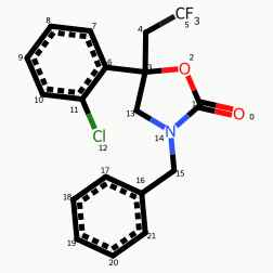 O=C1OC(CC(F)(F)F)(c2ccccc2Cl)CN1Cc1ccccc1